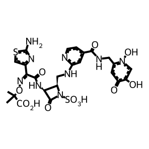 CC(C)(O/N=C(\C(=O)N[C@@H]1C(=O)N(S(=O)(=O)O)[C@@H]1CNc1cc(C(=O)NCc2cc(=O)c(O)cn2O)ccn1)c1csc(N)n1)C(=O)O